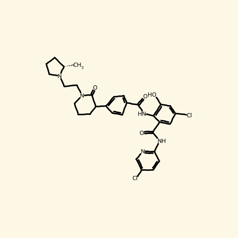 C[C@H]1CCCN1CCN1CCCC(c2ccc(C(=O)Nc3c(O)cc(Cl)cc3C(=O)Nc3ccc(Cl)cn3)cc2)C1=O